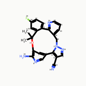 CC1(C)Oc2cc(cnc2N)-c2c(C#N)cnn2Cc2cccnc2-c2ccc(F)cc21